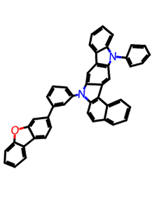 c1ccc(-n2c3ccccc3c3cc4c(cc32)c2c3ccccc3ccc2n4-c2cccc(-c3ccc4c(c3)oc3ccccc34)c2)cc1